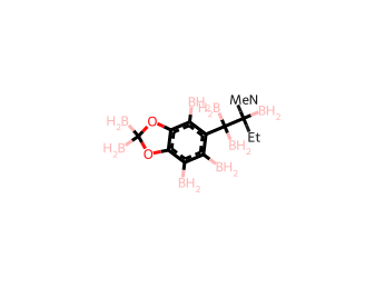 Bc1c(B)c(C(B)(B)C(B)(CC)NC)c(B)c2c1OC(B)(B)O2